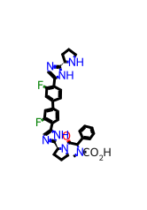 CN(C(=O)O)[C@@H](C(=O)N1CCC[C@H]1c1ncc(-c2ccc(-c3ccc(-c4cnc([C@@H]5CCCN5)[nH]4)c(F)c3)cc2F)[nH]1)c1ccccc1